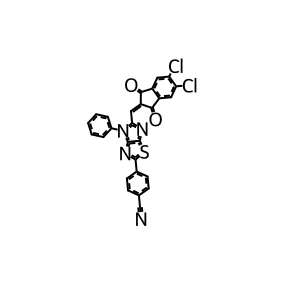 N#Cc1ccc(-c2nc3c(nc(C=C4C(=O)c5cc(Cl)c(Cl)cc5C4=O)n3-c3ccccc3)s2)cc1